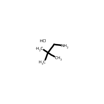 Cl.[CH2]C(C)(C)CN